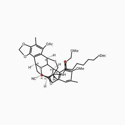 CCCCCCCCCCCCCCCC(=O)N[C@H]1CS[C@@H]2c3c(OC(C)=O)c(C)c4c(c3[C@H](COC1=O)N1C2[C@H]2c3c(cc(C)c(OC)c3OCOC)C[C@@H]([C@@H]1C#N)N2C)OCO4